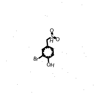 O=[SH](=O)Cc1ccc(O)c(Br)c1